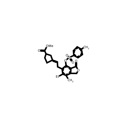 CCc1c(C)c2c(c(OS(=O)(=O)c3ccc(C)cc3)c1C/C=C1\CCC(C(=O)OC)C1)C(=O)OC2